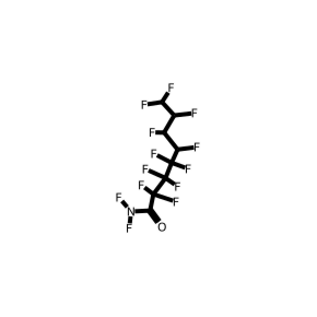 O=C(N(F)F)C(F)(F)C(F)(F)C(F)(F)C(F)C(F)C(F)C(F)F